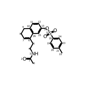 CC(=O)NCCC1=CCCc2ccc(OS(=O)(=O)c3ccc(C)cc3)cc21